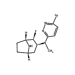 [2H]c1ccc(N(C)[C@H]2C[C@@H]3CC[C@@H](N3)[C@H]2F)nn1